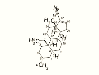 CC[C@]12CC[C@@H](C)C[C@@H]1CC[C@@H]1[C@@H]2CC[C@]2(C)C(C#N)=CC[C@@H]12